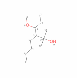 CCCCC(C(CC)OC)C(C)(C)O